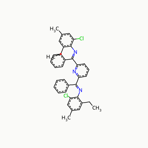 CCc1cc(C)cc(Cl)c1/N=C(\c1ccccc1)c1cccc(/C(=N/c2c(Cl)cc(C)cc2CC)c2ccccc2)n1